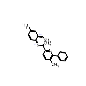 C=C(/N=C1/C=CC(C)=C/C1=C/N)c1ccc(C)c(-c2ccccc2)n1